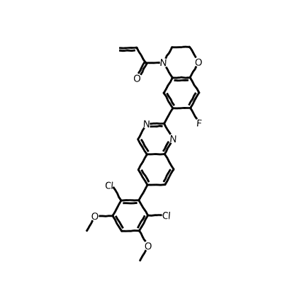 C=CC(=O)N1CCOc2cc(F)c(-c3ncc4cc(-c5c(Cl)c(OC)cc(OC)c5Cl)ccc4n3)cc21